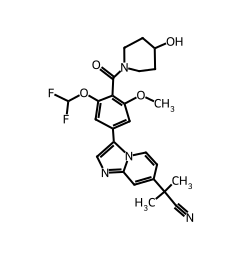 COc1cc(-c2cnc3cc(C(C)(C)C#N)ccn23)cc(OC(F)F)c1C(=O)N1CCC(O)CC1